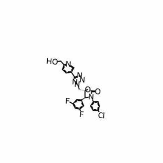 O=C1O[C@@H](Cn2nnc(-c3ccc(CO)nc3)n2)[C@H](c2cc(F)cc(F)c2)N1c1ccc(Cl)cc1